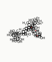 CCC(=O)N(C)[C@H]1C(CO)O[C@@H]2C(OC2(OC(=O)[C@]23CCC(C)(C)CC2C2=CCC4C5(C)CC[C@H](O[C@@H]6OC(C(=O)O)[C@@H](O)[C@H](O[C@@H]7OC[C@@H](O)[C@H](O)C7O)C6O[C@@H]6OC(CO)[C@H](O)[C@H](O)C6O)[C@](C)(C=O)[C@@H]5CC[C@]4(C)[C@]2(C)CC3O)[C@@H]2OC(C)[C@H](O[C@@H]3OC[C@@H](O)C(O[C@@H]4OC[C@](O)(CO)C4O)C3O)C(O)C2O)C1O